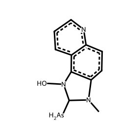 CN1c2ccc3ncccc3c2N(O)C1[AsH2]